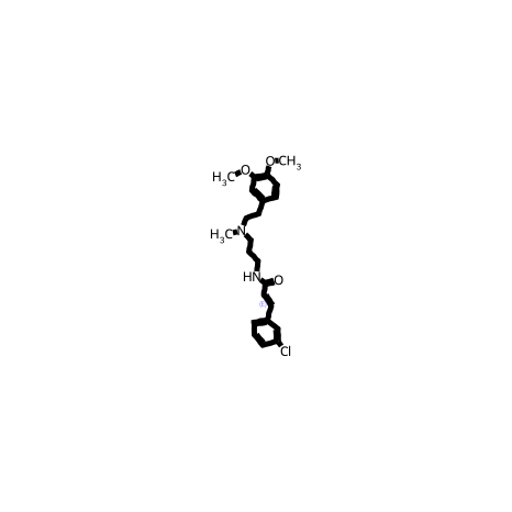 COc1ccc(CCN(C)CCCNC(=O)/C=C/c2cccc(Cl)c2)cc1OC